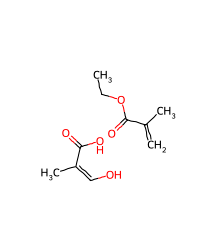 C=C(C)C(=O)OCC.CC(=CO)C(=O)O